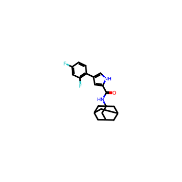 O=C(NC12CC3CC(CC(C3)C1)C2)c1cc(-c2ccc(F)cc2F)c[nH]1